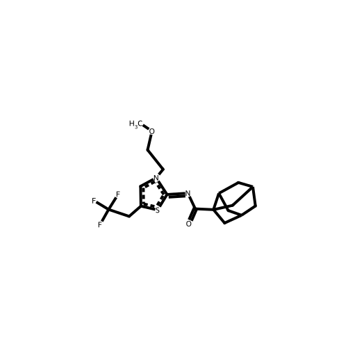 COCCn1cc(CC(F)(F)F)sc1=NC(=O)C12CC3CC(CC1C3)C2